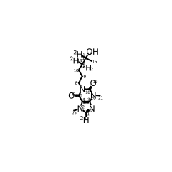 [2H]c1nc2c(c(=O)n(CCCC([2H])([2H])C([2H])(C)O)c(=O)n2C)n1C